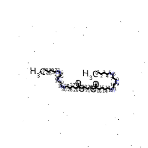 CCCCC/C=C\C/C=C\C/C=C\CCCCC(=O)OCCCOC(=O)CCCC/C=C\C/C=C\C/C=C\CCCCC